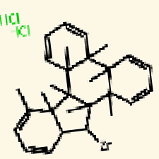 CC1=CC=CC2[CH]([Zr])C3(C)C4(C)C=CC=CC4(C)C4(C)C=CC=CC4(C)C3(C)C12C.Cl.Cl